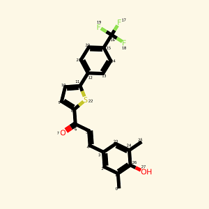 Cc1cc(C=CC(=O)c2ccc(-c3ccc(C(F)(F)F)cc3)s2)cc(C)c1O